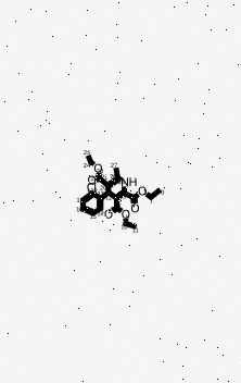 CCOC(=O)C1=C(C(=O)OCC)C(c2ccccc2Cl)C(C(=O)OCC)=C(C)N1